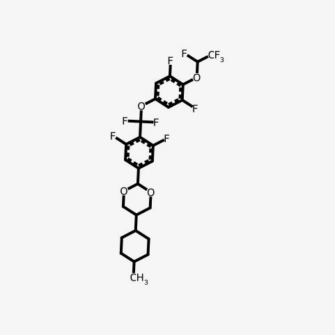 CC1CCC(C2COC(c3cc(F)c(C(F)(F)Oc4cc(F)c(OC(F)C(F)(F)F)c(F)c4)c(F)c3)OC2)CC1